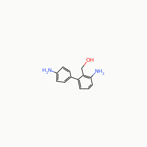 Nc1ccc(-c2cccc(N)c2CO)cc1